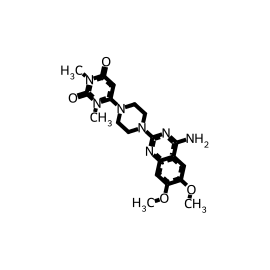 COc1cc2nc(N3CCN(c4cc(=O)n(C)c(=O)n4C)CC3)nc(N)c2cc1OC